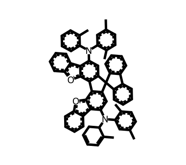 CC1=CC=CCC1N(c1cc(C)ccc1C)c1cc2c(c3oc4ccccc4c13)-c1c(cc(N(c3ccccc3C)c3cc(C)ccc3C)c3c1oc1ccccc13)C21c2ccccc2-c2ccccc21